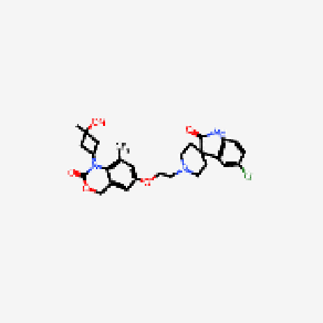 CC1(O)CC(N2C(=O)OCc3cc(OCCN4CCC5(CC4)C(=O)Nc4ccc(Cl)cc45)cc(C(F)(F)F)c32)C1